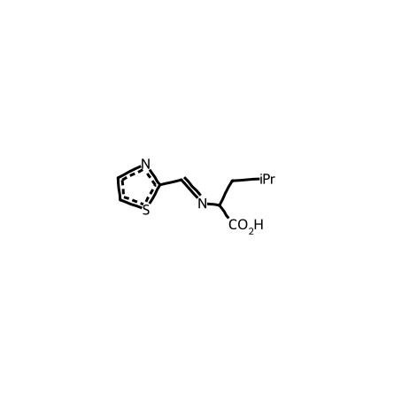 CC(C)CC(N=Cc1nccs1)C(=O)O